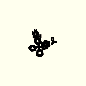 CC(C)=O.c1ccc(-c2ccccc2C(c2ccccc2)(c2ccccc2)c2ccccc2)cc1.c1nnn[nH]1